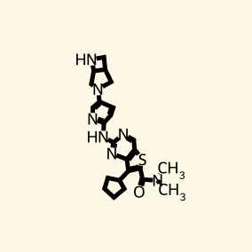 CN(C)C(=O)c1sc2cnc(Nc3ccc(N4CC5CNC5C4)cn3)nc2c1C1CCCC1